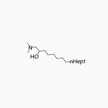 CCCCCCCCCCCCCC(O)CN(C)C